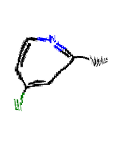 CNc1cc(Br)ccn1